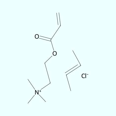 C=CC(=O)OCC[N+](C)(C)C.CC=CC.[Cl-]